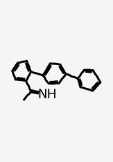 CC(=N)c1ccccc1-c1ccc(-c2ccccc2)cc1